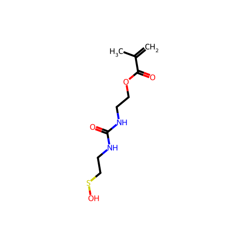 C=C(C)C(=O)OCCNC(=O)NCCSO